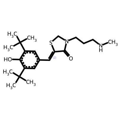 CNCCCN1CS/C(=C\c2cc(C(C)(C)C)c(O)c(C(C)(C)C)c2)C1=O